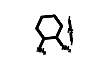 NC1CCCCC1N.[I][Pt][I]